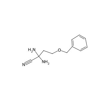 N#CC(N)(N)CCOCc1ccccc1